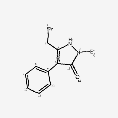 CCn1[nH]c(CC(C)C)c(-c2ccccc2)c1=O